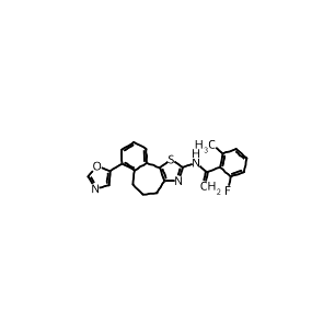 C=C(Nc1nc2c(s1)-c1cccc(-c3cnco3)c1CCC2)c1c(C)cccc1F